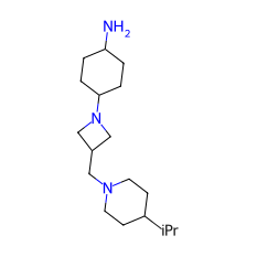 CC(C)C1CCN(CC2CN(C3CCC(N)CC3)C2)CC1